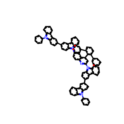 c1ccc(-c2cccc(-c3ccccc3)c2-c2cc(-n3c4ccccc4c4cc(-c5ccc6c(c5)c5ccccc5n6-c5ccccc5)ccc43)nc3ccc(-n4c5ccccc5c5cc(-c6ccc7c(c6)c6ccccc6n7-c6ccccc6)ccc54)cc23)cc1